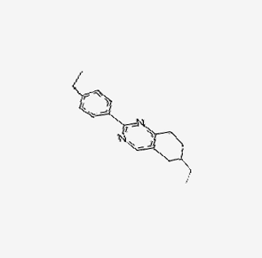 CCc1ccc(-c2ncc3c(n2)CCC(CC)C3)cc1